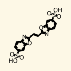 O=S(=O)(O)c1ccc2nc(/C=C/c3nc4ccc(S(=O)(=O)O)cc4o3)oc2c1